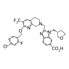 O=C(O)c1ccc2nc(CN3CCc4cc(C(F)(F)F)c(OCc5ccc(Cl)cc5F)nc4C3)n(C[C@H]3CCOC3)c2c1